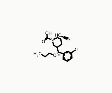 CCCO[C@@H](c1cccc(Cl)c1)C1CCCN(C(=O)O)C1.N#CO